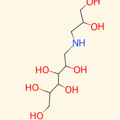 OCC(O)CNCC(O)C(O)C(O)C(O)CO